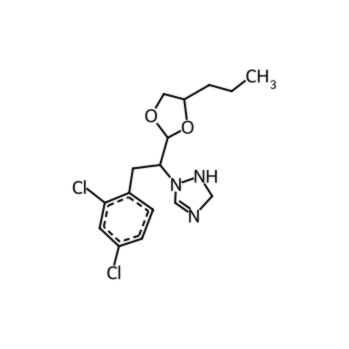 CCCC1COC(C(Cc2ccc(Cl)cc2Cl)N2C=NCN2)O1